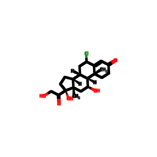 C[C@]12CCC(=O)C=C1C(Cl)C[C@@H]1[C@@H]2[C@@H](O)C[C@@]2(C)[C@H]1CC[C@]2(O)C(=O)CO